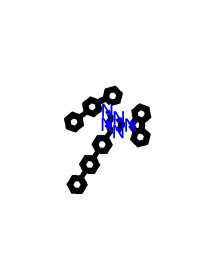 c1ccc(-c2ccc(-c3ccc(-c4nc(-n5c6ccccc6c6ccccc65)nc(-n5c6ccccc6c6ccc(-c7ccccc7)cc65)n4)cc3)cc2)cc1